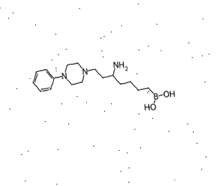 NC(CCCCB(O)O)CCN1CCN(c2ccccc2)CC1